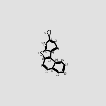 Clc1ccc2c(n1)sc1ccc3ccccc3c12